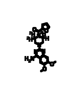 [2H]C1([2H])CN(c2nc(N)c3cc(OC)c(OC)cc3n2)CC([2H])([2H])N1C(=O)c1ccco1